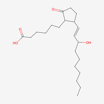 CCCCCCCC(O)C=CC1CCC(=O)C1CCCCCC(=O)O